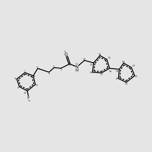 O=C(CCCCc1cccc(F)c1)NCc1ccc(-c2ccccc2)cc1